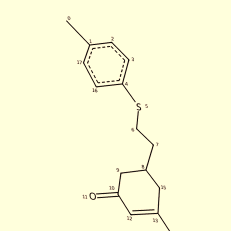 Cc1ccc(SCCC2CC(=O)C=C(O)C2)cc1